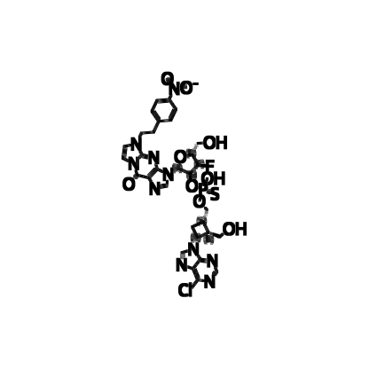 O=c1c2ncn([C@@H]3O[C@H](CO)[C@@H](F)[C@H]3OP(O)(=S)OC[C@H]3C[C@@H](n4cnc5c(Cl)ncnc54)[C@@H]3CO)c2nc2n(CCc3ccc([N+](=O)[O-])cc3)ccn12